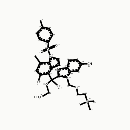 CCc1cc(C)c2c(ccn2S(=O)(=O)c2ccc(C)cc2)c1C(OCC(=O)O)(c1nc2ccc(C#N)cc2n1COCC[Si](C)(C)C)C(F)(F)F